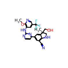 COc1ncc(C(F)(F)F)cc1Nc1nccc(-c2cc(C#N)c3c(c2)[C@@](C)(CO)CN3)n1